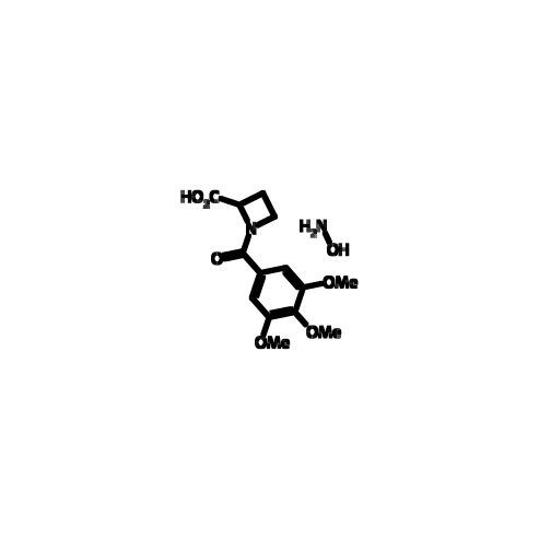 COc1cc(C(=O)N2CCC2C(=O)O)cc(OC)c1OC.NO